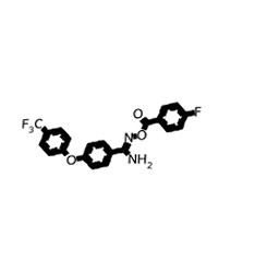 N/C(=N\OC(=O)c1ccc(F)cc1)c1ccc(Oc2ccc(C(F)(F)F)cc2)cc1